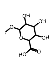 O=C(O)C1OC(OI)C(O)C(O)C1O